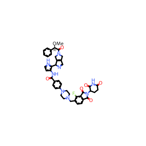 CO[C@@H](C(=O)N1CC2=C(C1)C(c1[nH]ccc1NC(=O)c1ccc(N3CCN(Cc4ccc5c(c4F)C(=O)N(C4CCC(=O)NC4=O)C5=O)CC3)cc1)N=C2)c1ccccc1